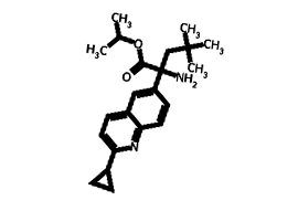 CC(C)OC(=O)C(N)(CC(C)(C)C)c1ccc2nc(C3CC3)ccc2c1